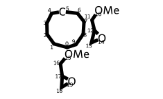 C1CCCCCCCCC1.COCC1CO1.COCC1CO1